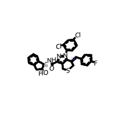 O=C(N[C@H]1c2ccccc2C[C@H]1O)c1nn(-c2ccc(Cl)cc2Cl)c2c1CSC/C2=C\c1ccc(F)cc1